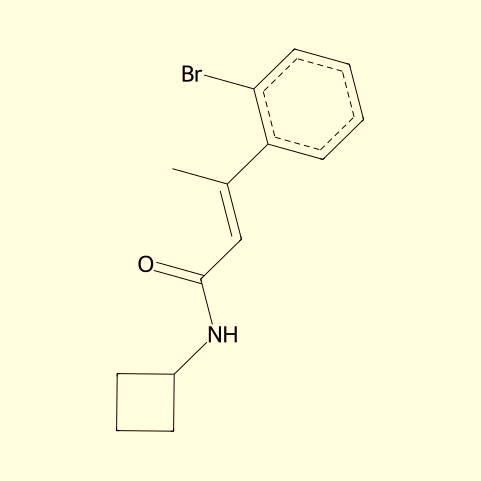 CC(=CC(=O)NC1CCC1)c1ccccc1Br